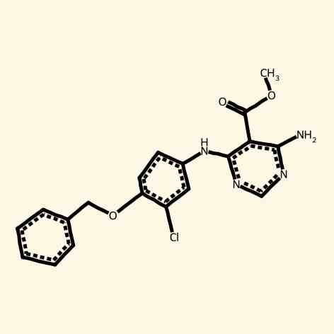 COC(=O)c1c(N)ncnc1Nc1ccc(OCc2ccccc2)c(Cl)c1